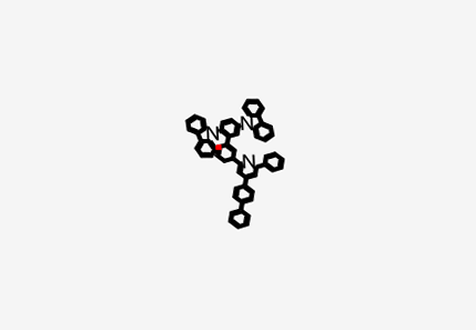 C1=CC(c2cc(-n3c4ccccc4c4ccccc43)ccc2-n2c3ccccc3c3ccccc32)=CC(c2cc(-c3ccc(-c4ccccc4)cc3)cc(-c3ccccc3)n2)C1